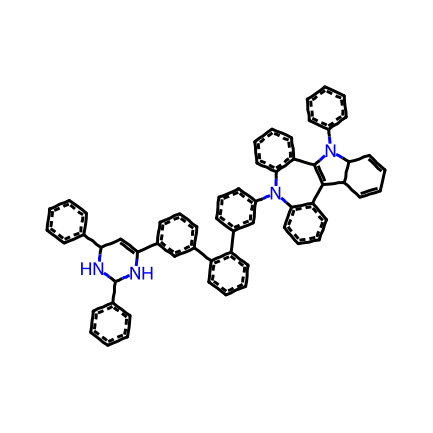 C1=CC2C3=C(c4ccccc4N(c4cccc(-c5ccccc5-c5cccc(C6=CC(c7ccccc7)NC(c7ccccc7)N6)c5)c4)c4ccccc43)N(c3ccccc3)C2C=C1